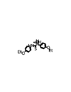 CCOc1ccc(NC(=S)Nc2ccc(OCC)cc2)cc1.[CH3][AlH2]